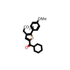 CCOC(=O)Cc1cc(C(=O)C2CCCCC2)sc1-c1ccc(OC)cc1